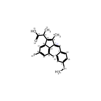 CSc1ccc(/C=C2/C(C)=C(C(C)C(=O)O)c3cc(F)cc(F)c32)cc1